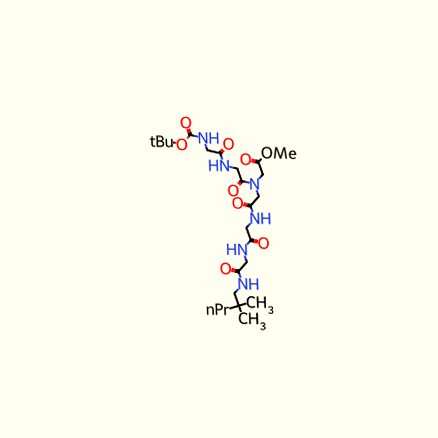 CCCC(C)(C)CNC(=O)CNC(=O)CNC(=O)CN(CC(=O)OC)C(=O)CNC(=O)CNC(=O)OC(C)(C)C